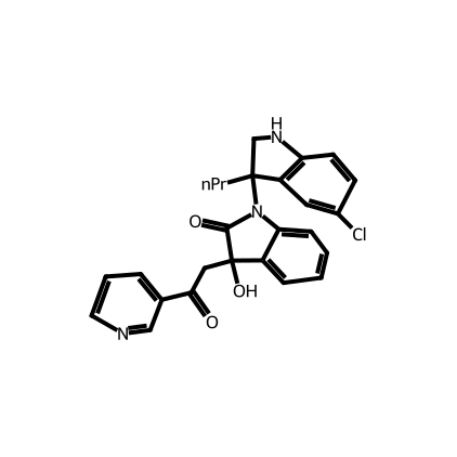 CCCC1(N2C(=O)C(O)(CC(=O)c3cccnc3)c3ccccc32)CNc2ccc(Cl)cc21